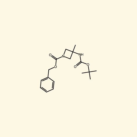 CC1(NC(=O)OC(C)(C)C)CN(C(=O)OCc2ccccc2)C1